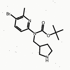 Cc1nc(N(CC2CCNC2)C(=O)OC(C)(C)C)ccc1Br